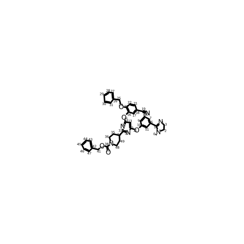 CN1CCN=C1c1cccc(Oc2cc(Oc3cc(C#N)ccc3OCc3ccccc3)nc(C3CCN(C(=O)OCc4ccccc4)CC3)n2)c1